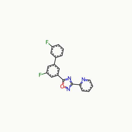 Fc1cccc(-c2cc(F)cc(-c3nc(-c4ccccn4)no3)c2)c1